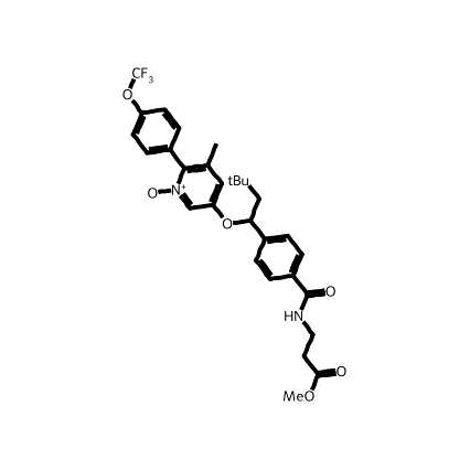 COC(=O)CCNC(=O)c1ccc(C(CC(C)(C)C)Oc2cc(C)c(-c3ccc(OC(F)(F)F)cc3)[n+]([O-])c2)cc1